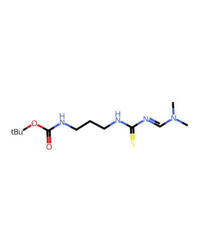 CN(C)C=NC(=S)NCCCNC(=O)OC(C)(C)C